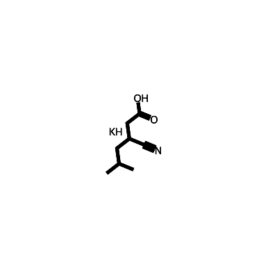 CC(C)CC(C#N)CC(=O)O.[KH]